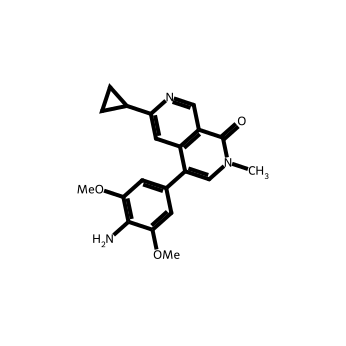 COc1cc(-c2cn(C)c(=O)c3cnc(C4CC4)cc23)cc(OC)c1N